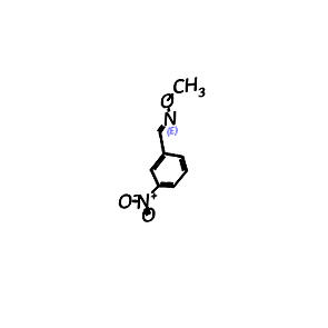 CO/N=C/c1cccc([N+](=O)[O-])c1